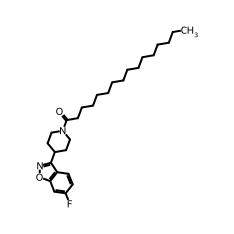 CCCCCCCCCCCCCCCC(=O)N1CCC(c2noc3cc(F)ccc23)CC1